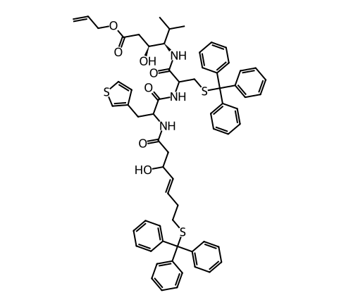 C=CCOC(=O)C[C@H](O)[C@H](NC(=O)C(CSC(c1ccccc1)(c1ccccc1)c1ccccc1)NC(=O)C(Cc1ccsc1)NC(=O)CC(O)C=CCCSC(c1ccccc1)(c1ccccc1)c1ccccc1)C(C)C